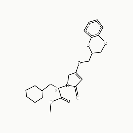 COC(=O)[C@H](CC1CCCCC1)N1CC(OCC2COc3ccccc3O2)=CC1=O